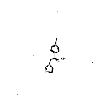 Cc1ccc(C(=O)Cn2ccnc2)cc1.Cl